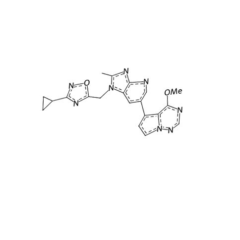 COc1ncnn2ccc(-c3cnc4nc(C)n(Cc5nc(C6CC6)no5)c4c3)c12